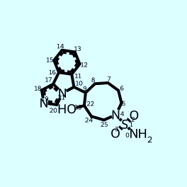 NS(=O)(=O)N1CCCCC(C2c3ccccc3-c3cncn32)C(O)CC1